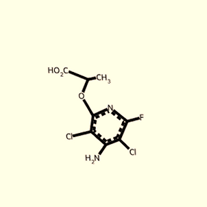 CC(Oc1nc(F)c(Cl)c(N)c1Cl)C(=O)O